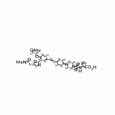 CNC(=O)Cc1cnc(-c2cc(C#Cc3ccc(N4CCN(S(=O)(=O)NC(C(=O)O)C(C)C)CC4)cc3)ccc2OCCOC)o1